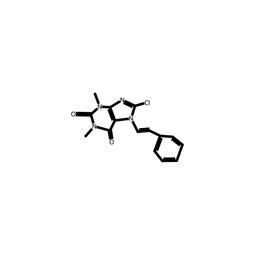 Cn1c(=O)c2c(nc(Cl)n2C=Cc2ccccc2)n(C)c1=O